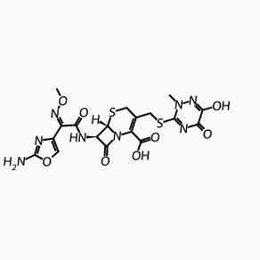 CO/N=C(\C(=O)N[C@@H]1C(=O)N2C(C(=O)O)=C(CSc3nc(=O)c(O)nn3C)CS[C@@H]12)c1coc(N)n1